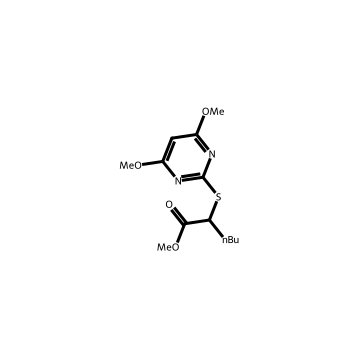 CCCCC(Sc1nc(OC)cc(OC)n1)C(=O)OC